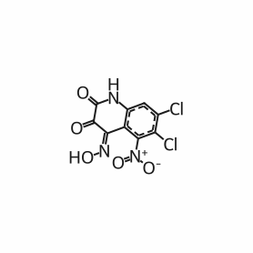 O=C1Nc2cc(Cl)c(Cl)c([N+](=O)[O-])c2C(=NO)C1=O